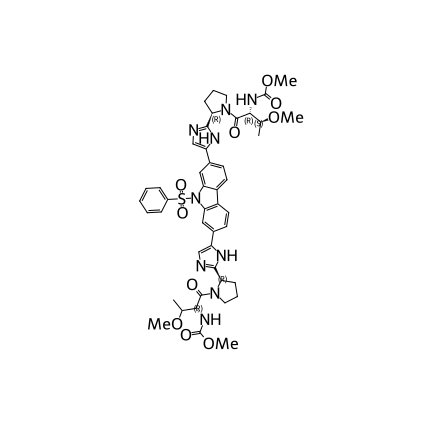 COC(=O)N[C@@H](C(=O)N1CCC[C@@H]1c1ncc(-c2ccc3c4ccc(-c5cnc([C@H]6CCCN6C(=O)[C@H](NC(=O)OC)[C@H](C)OC)[nH]5)cc4n(S(=O)(=O)c4ccccc4)c3c2)[nH]1)C(C)OC